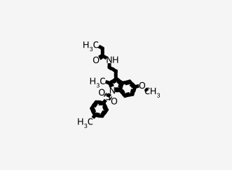 CCC(=O)NCCc1c(C)n(S(=O)(=O)c2ccc(C)cc2)c2ccc(OC)cc12